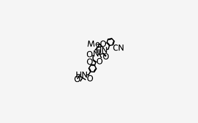 COc1cccc(C#N)c1CNC(=O)C1(C)COc2c(oc3cc(C(=O)NC4(C)COC4)ccc23)C(=O)N1CC1CC1